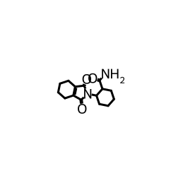 NC(=O)C1CCCCC1N1C(=O)C2=C(CCCC2)C1=O